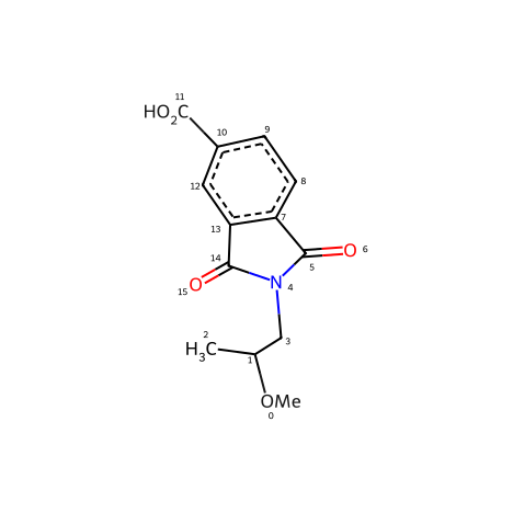 COC(C)CN1C(=O)c2ccc(C(=O)O)cc2C1=O